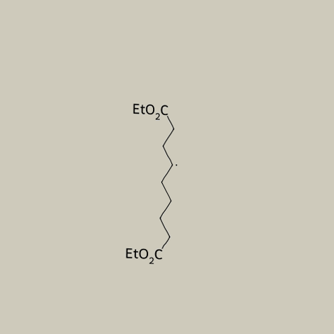 CCOC(=O)CC[CH]CCCCC(=O)OCC